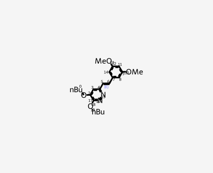 CCCCOc1cc(/C=C/c2cc(OC)cc(OC)c2)nnc1OCCCC